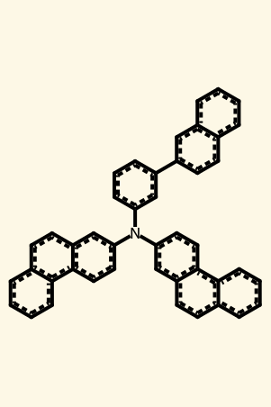 c1cc(-c2ccc3ccccc3c2)cc(N(c2ccc3c(ccc4ccccc43)c2)c2ccc3c(ccc4ccccc43)c2)c1